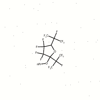 CCCOC1(C(F)(C(F)(F)F)C(F)(F)F)OC(C(F)(C(F)(F)F)C(F)(F)F)C(F)(F)C1(F)F